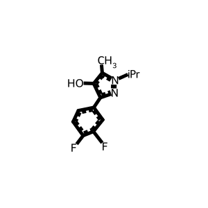 Cc1c(O)c(-c2ccc(F)c(F)c2)nn1C(C)C